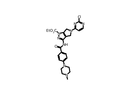 CCOC(=O)n1nc(NC(=O)c2ccc(N3CCN(C)CC3)cc2)c2c1CN(c1ccnc(Cl)n1)C2